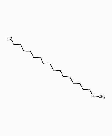 COCCCCCCCCCCCCCCCCO